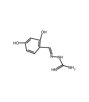 N=C(N)NN=Cc1ccc(O)cc1O